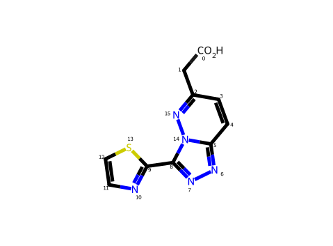 O=C(O)Cc1ccc2nnc(-c3nccs3)n2n1